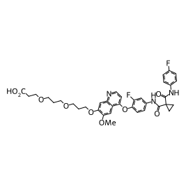 COc1cc2c(Oc3ccc(NC(=O)C4(C(=O)Nc5ccc(F)cc5)CC4)cc3F)ccnc2cc1OCCCOCCCOCCC(=O)O